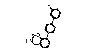 Fc1cccc(-c2ccc(-c3cccc4c3OSNC4)cc2)c1